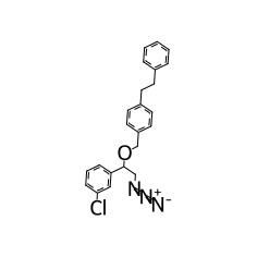 [N-]=[N+]=NCC(OCc1ccc(CCc2ccccc2)cc1)c1cccc(Cl)c1